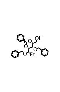 CC[C@@H](OCc1ccccc1)[C@@H](OCc1ccccc1)[C@@H](OCc1ccccc1)C(O)CO